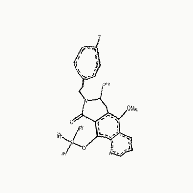 COc1c2c(c(O[Si](C(C)C)(C(C)C)C(C)C)c3ncccc13)C(=O)N(Cc1ccc(F)cc1)C2O